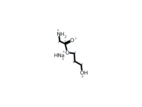 NCC(=O)OCCCO.[NaH]